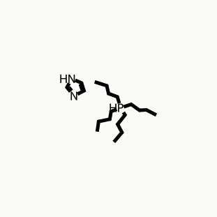 CCCC[PH](CCCC)(CCCC)CCCC.c1c[nH]cn1